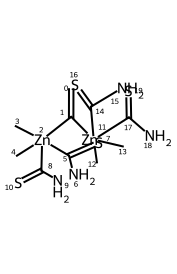 C=[C]([Zn]([CH3])([CH3])([C](N)=S)[C](N)=S)[Zn]([CH3])([CH3])([C](N)=S)[C](N)=S